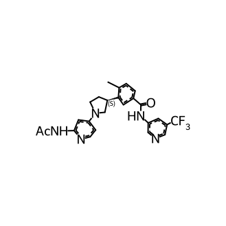 CC(=O)Nc1cc(N2CC[C@@H](c3cc(C(=O)Nc4cncc(C(F)(F)F)c4)ccc3C)C2)ccn1